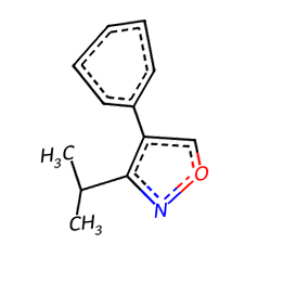 CC(C)c1nocc1-c1ccccc1